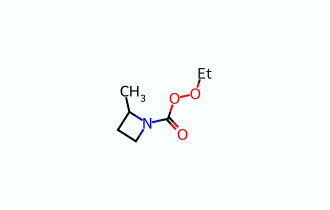 CCOOC(=O)N1CCC1C